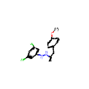 C=C(Cc1ccc(OC(F)(F)F)cc1)NNc1cc(Cl)cc(Cl)c1